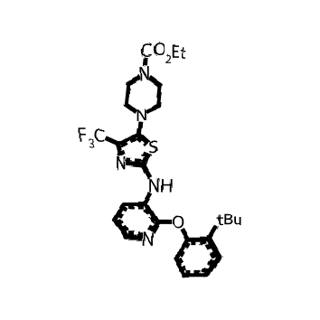 CCOC(=O)N1CCN(c2sc(Nc3cccnc3Oc3ccccc3C(C)(C)C)nc2C(F)(F)F)CC1